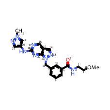 COCCNC(=O)c1cccc(Cn2ncc3cnc(Nc4cnn(C)c4)nc32)c1